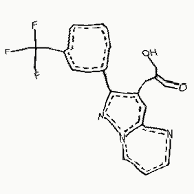 O=C(O)c1c(-c2cccc(C(F)(F)F)c2)nn2cccnc12